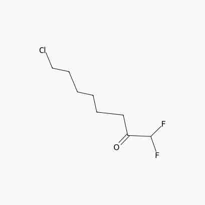 O=C(CCCCCCCl)C(F)F